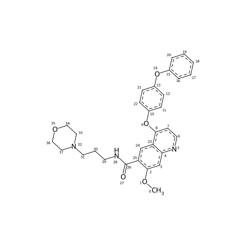 COc1cc2nccc(Oc3ccc(Oc4ccccc4)cc3)c2cc1C(=O)NCCCN1CCOCC1